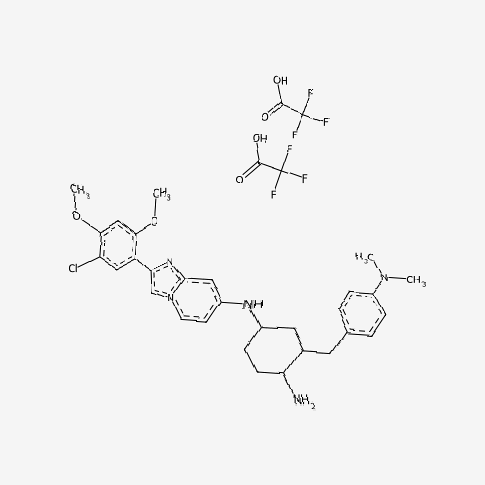 COc1cc(OC)c(-c2cn3ccc(NC4CCC(N)C(Cc5ccc(N(C)C)cc5)C4)cc3n2)cc1Cl.O=C(O)C(F)(F)F.O=C(O)C(F)(F)F